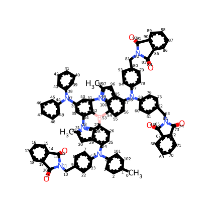 Cc1ccc(N(c2ccc(CN3C(=O)c4ccccc4C3=O)cc2)c2ccc3c4c2cc(C)n4-c2cc(N(c4ccccc4)c4ccccc4)cc4c2B3c2ccc(N(c3ccc(CN5C(=O)c6ccccc6C5=O)cc3)c3ccc(CN5C(=O)c6ccccc6C5=O)cc3)c3cc(C)n-4c23)cc1